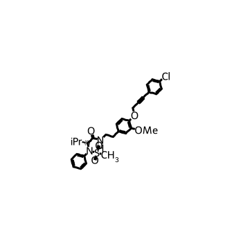 COc1cc(CCNC(=O)[C@H](C(C)C)N(c2ccccc2)S(C)(=O)=O)ccc1OCC#Cc1ccc(Cl)cc1